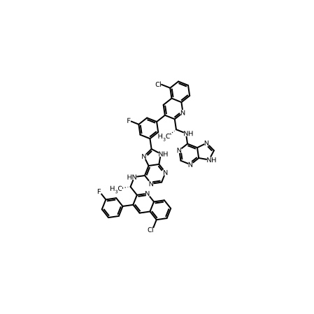 C[C@H](Nc1ncnc2[nH]c(-c3cc(F)cc(-c4cc5c(Cl)cccc5nc4[C@@H](C)Nc4ncnc5[nH]cnc45)c3)nc12)c1nc2cccc(Cl)c2cc1-c1cccc(F)c1